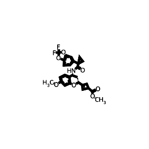 COC(=O)C12CC([C@H]3C[C@@H](NC(=O)C4(c5ccc6c(c5)OC(F)(F)O6)CC4)c4ccc(OC)cc4O3)(C1)C2